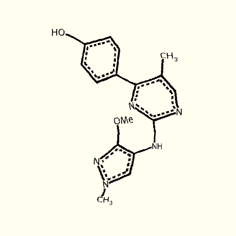 COc1nn(C)cc1Nc1ncc(C)c(-c2ccc(O)cc2)n1